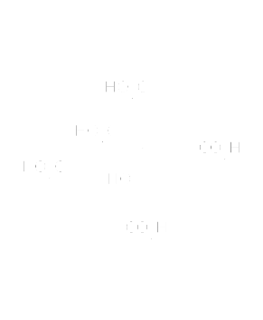 O=C(O)C=CC(=O)O.O=C(O)CC(O)(CC(=O)O)C(=O)O